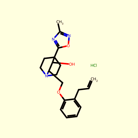 C=CCc1ccccc1OCC1C(O)C2(c3nc(C)no3)CCN1CC2.Cl